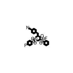 N#Cc1ccc(C=C2CN(S(=O)(=O)c3ccc(F)cc3)CC(S(=O)(=O)c3ccccc3F)C2=O)cc1